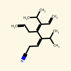 C=CCC(/C(=C\CC#N)C(C)C)=C(/C=C)C(C)C